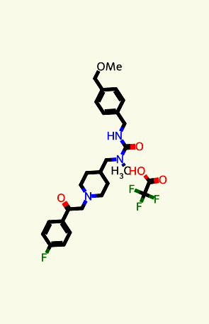 COCc1ccc(CNC(=O)N(C)CC2CCN(CC(=O)c3ccc(F)cc3)CC2)cc1.O=C(O)C(F)(F)F